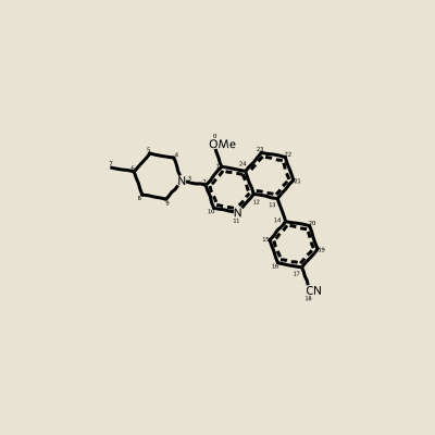 COc1c(N2CCC(C)CC2)cnc2c(-c3ccc(C#N)cc3)cccc12